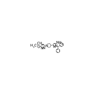 CC(C)Oc1ccc(N2CCC(c3cc(N)n(C(c4ccccc4)c4ccccc4)n3)CC2)nn1